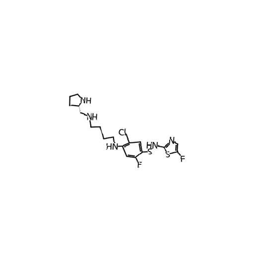 Fc1cnc(NSc2cc(Cl)c(NCCCCNC[C@@H]3CCCN3)cc2F)s1